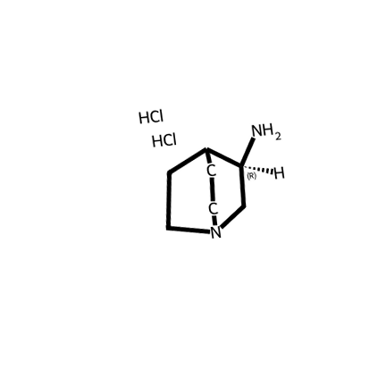 Cl.Cl.N[C@H]1CN2CCC1CC2